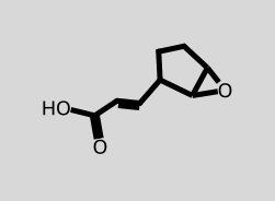 O=C(O)C=CC1CCC2OC12